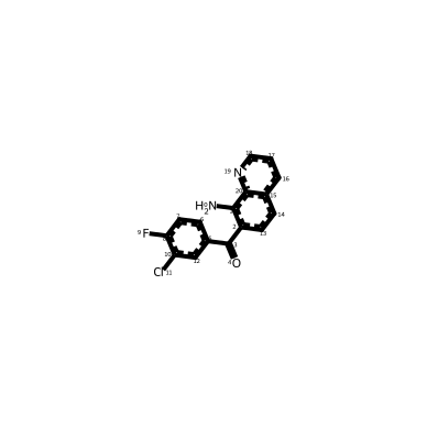 Nc1c(C(=O)c2ccc(F)c(Cl)c2)ccc2cccnc12